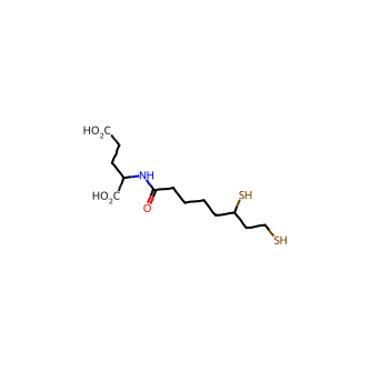 O=C(O)CCC(NC(=O)CCCCC(S)CCS)C(=O)O